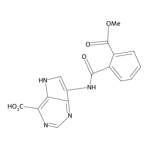 COC(=O)c1ccccc1C(=O)Nc1c[nH]c2c(C(=O)O)ncnc12